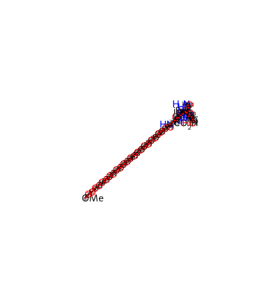 COCCOCCOCCOCCOCCOCCOCCOCCOCCOCCOCCOCCOCCOCCOCCOCCOCCOCCOCCOCCOCCOCCOCCOCCC(=O)NCCCC[C@H](NC(=O)O)C(=O)NCCC(=O)N[C@H](C(=O)N[C@@H](CCCNC(N)=O)C(=O)Nc1ccc(CO)cc1)C(C)C